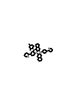 Cc1cc(C)c(B2c3cc(-c4ccccn4)ccc3N3c4cc5ccccc5cc4N(c4ccc(-c5ccccn5)cc4)c4cc5ccccc5c2c43)c(C)c1